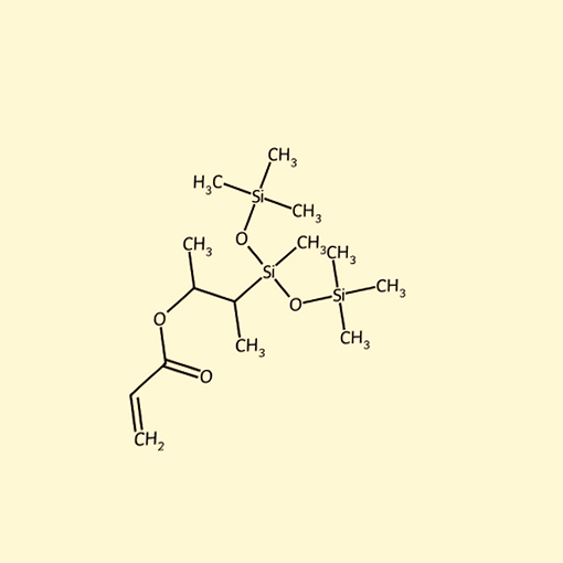 C=CC(=O)OC(C)C(C)[Si](C)(O[Si](C)(C)C)O[Si](C)(C)C